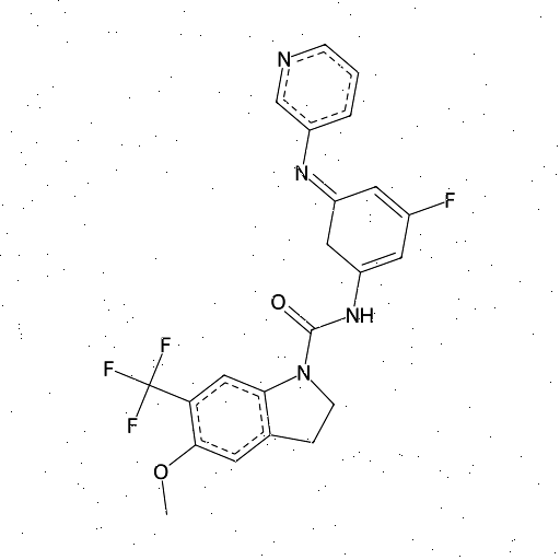 COc1cc2c(cc1C(F)(F)F)N(C(=O)NC1=CC(F)=CC(=Nc3cccnc3)C1)CC2